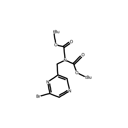 CC(C)(C)OC(=O)N(Cc1cncc(Br)n1)C(=O)OC(C)(C)C